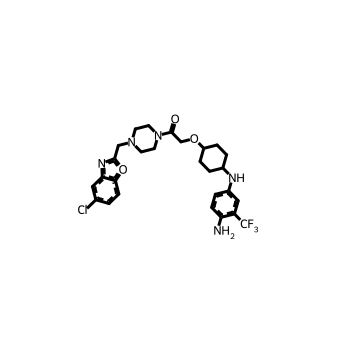 Nc1ccc(NC2CCC(OCC(=O)N3CCN(Cc4nc5cc(Cl)ccc5o4)CC3)CC2)cc1C(F)(F)F